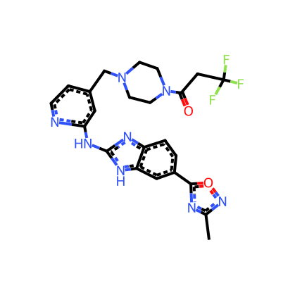 Cc1noc(-c2ccc3nc(Nc4cc(CN5CCN(C(=O)CC(F)(F)F)CC5)ccn4)[nH]c3c2)n1